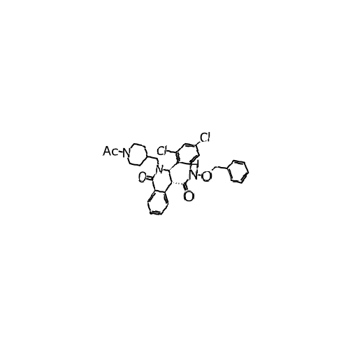 CC(=O)N1CCC(CN2C(=O)c3ccccc3[C@@H](C(=O)NOCc3ccccc3)[C@@H]2c2ccc(Cl)cc2Cl)CC1